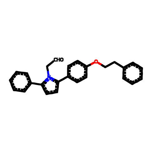 O=CCn1c(-c2ccccc2)ccc1-c1ccc(OCCc2ccccc2)cc1